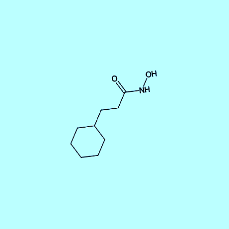 O=C(CCC1CCCCC1)NO